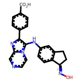 O=C(O)c1ccc(-c2nc3cnccn3c2Nc2ccc3c(c2)CC/C3=N\O)cc1